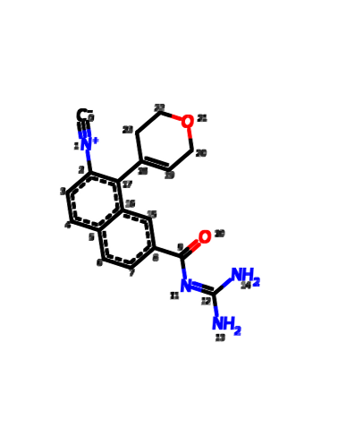 [C-]#[N+]c1ccc2ccc(C(=O)N=C(N)N)cc2c1C1=CCOCC1